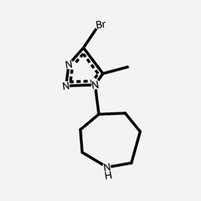 Cc1c(Br)nnn1C1CCCNCC1